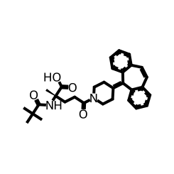 CC(C)(C)C(=O)N[C@@](C)(CCC(=O)N1CCC(=C2c3ccccc3C=Cc3ccccc32)CC1)C(=O)O